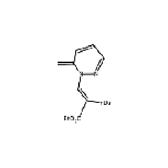 C=C1C=CC=NN1/C=C(\CCCC)C(=O)OCC